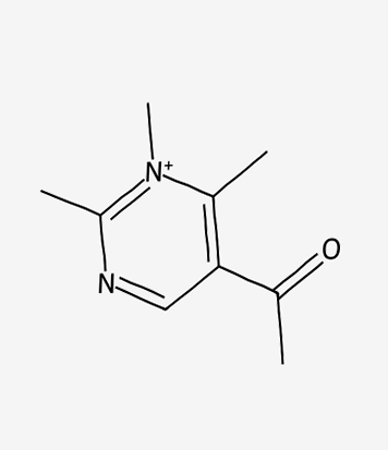 CC(=O)c1cnc(C)[n+](C)c1C